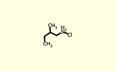 CCC(C)C[SiH2]Cl